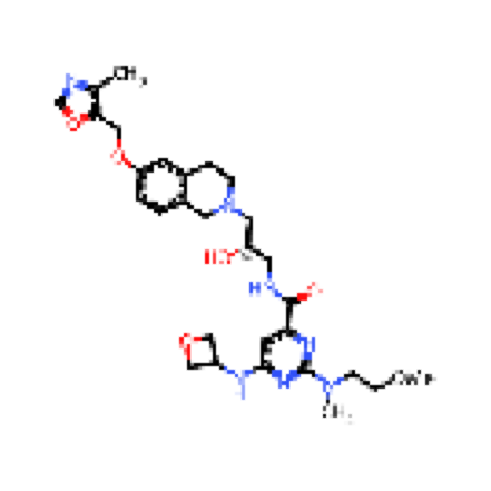 COCCN(C)c1nc(NC2COC2)cc(C(=O)NC[C@H](O)CN2CCc3cc(OCc4ocnc4C)ccc3C2)n1